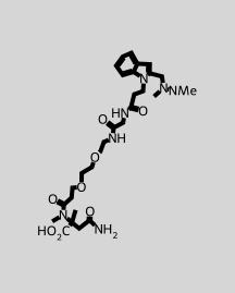 CNN(C)Cc1cc2ccccc2n1CCC(=O)NCC(=O)NCCOCCOCCC(=O)N(C)C(C)(CC(N)=O)C(=O)O